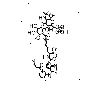 COC(=O)[C@H](CCCCNC(=O)C1O[C@@H](OC2[C@H](O)C(COS(=O)(=O)O)O[C@@H](OC)[C@H]2NC(C)=O)C(O)[C@@H](O)[C@@H]1OC)NC(=O)n1ccc2c(N(C)[C@H]3CN(C(=O)CC#N)CC[C@H]3C)ncnc21